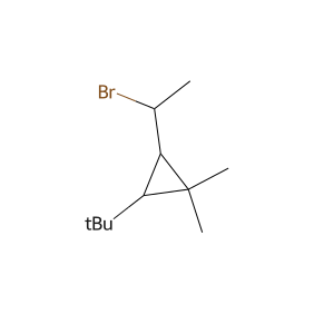 CC(Br)C1C(C(C)(C)C)C1(C)C